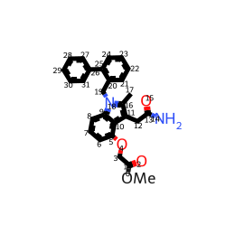 COC(=O)COc1cccc2c1c(CC(N)=O)c(C)n2Cc1ccccc1-c1ccccc1